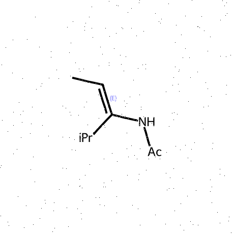 C/C=C(/NC(C)=O)C(C)C